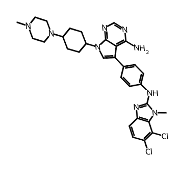 CN1CCN(C2CCC(n3cc(-c4ccc(Nc5nc6ccc(Cl)c(Cl)c6n5C)cc4)c4c(N)ncnc43)CC2)CC1